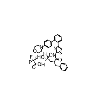 CN(C(=O)C(CC(=O)O)Cc1ccccc1)c1nc(-c2ccccc2-c2ccc(N3CCOCC3)cc2)cs1.O=C(O)C(F)(F)F